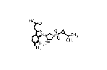 Cc1ccc2c(CC(=O)O)nn([C@H]3CN(S(=O)(=O)C4CC4C(C)C)C[C@H]3C)c2c1